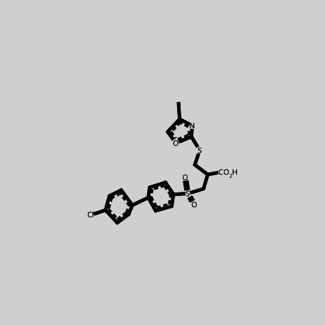 Cc1coc(SCC(CS(=O)(=O)c2ccc(-c3ccc(Cl)cc3)cc2)C(=O)O)n1